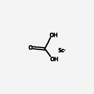 O=C(O)O.[Sc]